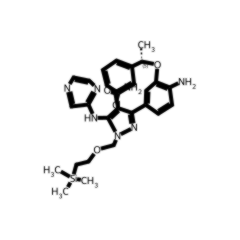 C[C@H](Oc1cc(-c2nn(COCC[Si](C)(C)C)c(Nc3cnccn3)c2C(N)=O)ccc1N)c1cccc(Cl)c1